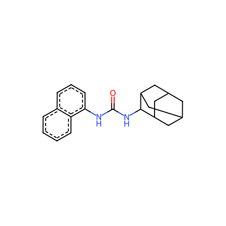 O=C(Nc1cccc2ccccc12)NC1C2CC3CC(C2)CC1C3